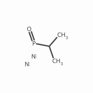 CC(C)P=O.[N].[N]